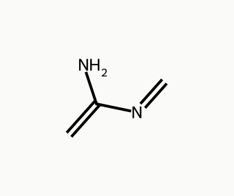 C=NC(=C)N